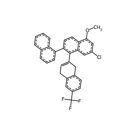 COc1cc(Cl)cc2c(C3=CCc4cc(C(F)(F)F)ccc4[CH]3)c(-c3cccc4ccccc34)ccc12